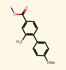 COc1ccc(-c2ccc(C(=O)OI)cc2C)cc1